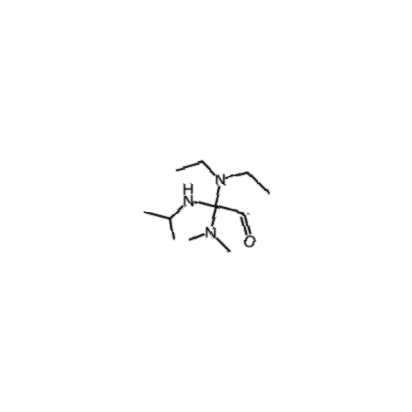 CCN(CC)C([C]=O)(NC(C)C)N(C)C